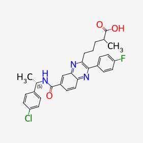 CC(CCCc1nc2cc(C(=O)N[C@@H](C)c3ccc(Cl)cc3)ccc2nc1-c1ccc(F)cc1)C(=O)O